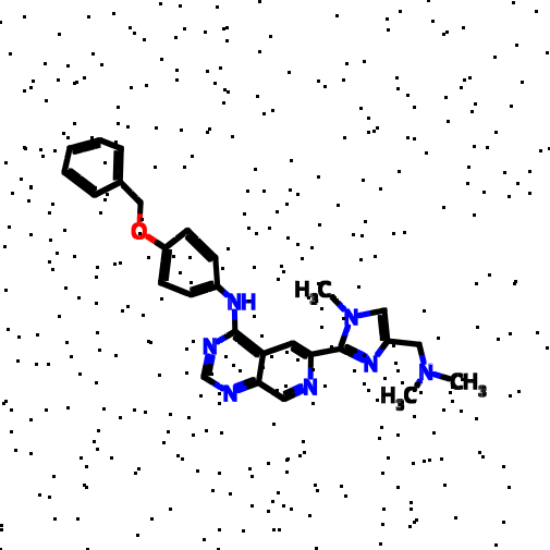 CN(C)Cc1cn(C)c(-c2cc3c(Nc4ccc(OCc5ccccc5)cc4)ncnc3cn2)n1